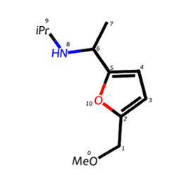 COCc1ccc(C(C)NC(C)C)o1